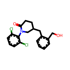 O=C1CCC(Cc2ccccc2CO)CN1c1c(Cl)cccc1Cl